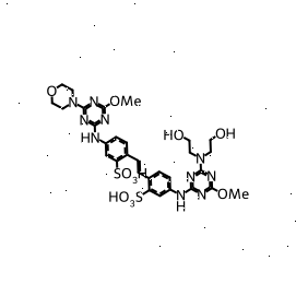 COc1nc(Nc2ccc(C=Cc3ccc(Nc4nc(OC)nc(N5CCOCC5)n4)cc3S(=O)(=O)O)c(S(=O)(=O)O)c2)nc(N(CCO)CCO)n1